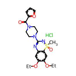 CCOc1cc2c(cc1OCC)S(C)(=O)=NC(N1CCN(C(=O)c3ccco3)CC1)=N2.Cl